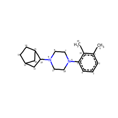 Cc1cccc(N2CCN(C3CC4CCC3C4)CC2)c1C